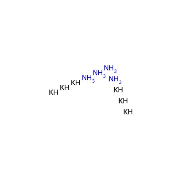 N.N.N.N.[KH].[KH].[KH].[KH].[KH].[KH]